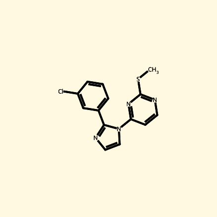 CSc1nccc(-n2ccnc2-c2cccc(Cl)c2)n1